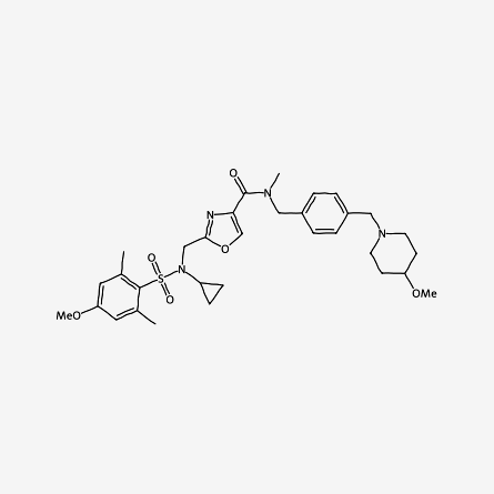 COc1cc(C)c(S(=O)(=O)N(Cc2nc(C(=O)N(C)Cc3ccc(CN4CCC(OC)CC4)cc3)co2)C2CC2)c(C)c1